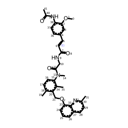 COc1cc(/C=C/C(=O)NCC(=O)N(C)c2ccc(C)c(COc3cccc4ccc(C)nc34)c2C)ccc1NC(C)=O